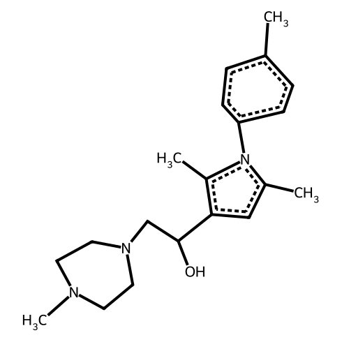 Cc1ccc(-n2c(C)cc(C(O)CN3CCN(C)CC3)c2C)cc1